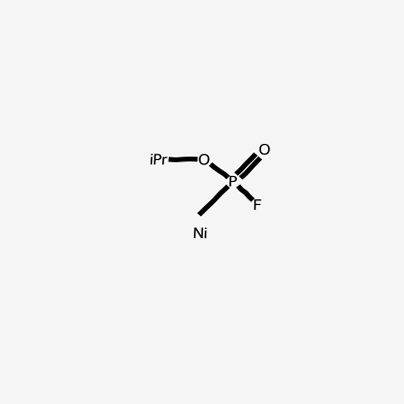 CC(C)OP(C)(=O)F.[Ni]